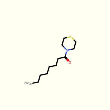 CCCCCCCCCCCCCCCC(=O)N1CCSCC1